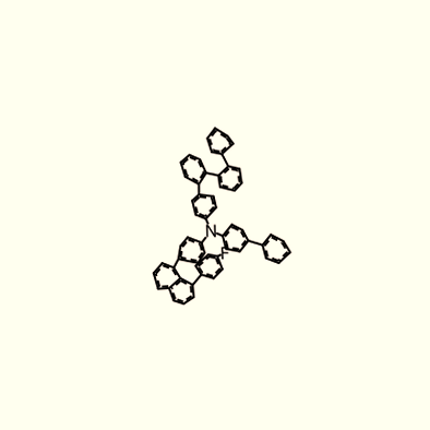 Fc1ccc(-c2cccc3cccc(-c4ccc(N(c5ccc(-c6ccccc6)cc5)c5ccc(-c6ccccc6-c6ccccc6-c6ccccc6)cc5)cc4)c23)cc1